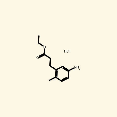 CCOC(=O)CCc1cc(N)ccc1C.Cl